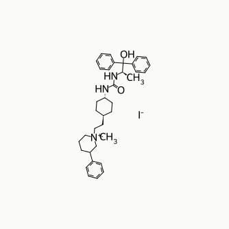 C[C@@H](NC(=O)N[C@H]1CC[C@H](CC[N+]2(C)CCCC(c3ccccc3)C2)CC1)C(O)(c1ccccc1)c1ccccc1.[I-]